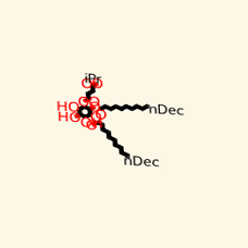 CCCCCCCCCCCCCCCCCCCC(=O)OC1C(O)C(O)C(O)C(OC(=O)CCC(=O)OC(C)C)C1OC(=O)CCCCCCCCCCCCCCCCCCC